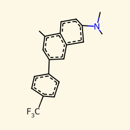 Cc1cc(-c2ccc(C(F)(F)F)cc2)cc2cc(N(C)C)ccc12